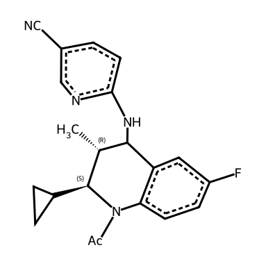 CC(=O)N1c2ccc(F)cc2C(Nc2ccc(C#N)cn2)[C@@H](C)[C@@H]1C1CC1